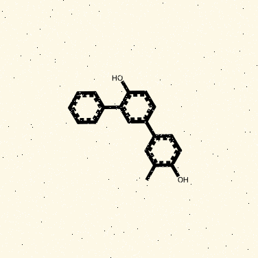 Cc1cc(-c2ccc(O)c(-c3ccccc3)c2)ccc1O